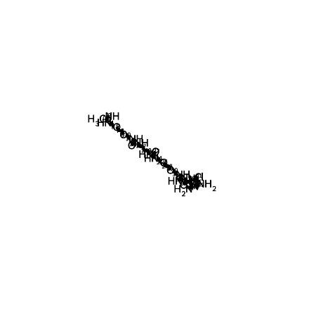 CC(=N)NCCOCCOCCNC(=O)NCCCCNC(=O)NCCOCCOCCNC(=N)NC(=O)c1nc(Cl)c(N)nc1N